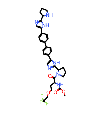 COC(=O)NC(CCOCC(F)(F)F)C(=O)N1CCCC1c1ncc(-c2ccc(-c3ccc(-c4cnc(C5CCCN5)[nH]4)cc3)cc2)[nH]1